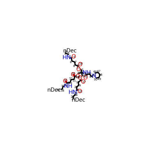 CCCCCCCCCCCCNC(=O)CCCC(=O)OCC(COC(=O)CCCC(=O)NCCCCCCCCCCCC)(COC(=O)CCCC(=O)NCCCCCCCCCCCC)NC(=O)CCN1CCCCC1